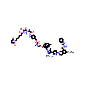 COc1cc2c(c(C(=O)Nc3nc4ccccc4s3)c1)CN(c1ccc(-c3cnn(CC45CC6(C)CC(C)(C4)CC(OCCN(C)C(=O)OCc4ccc(NC(=O)[C@H](C)NC(=O)C(NC(=O)CCCCCN7C(=O)C=CC7=O)C(C)C)cc4)(C6)C5)c3C)c(C(=O)O)n1)CC2